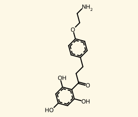 NCCOc1ccc(CCC(=O)c2c(O)cc(O)cc2O)cc1